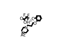 CC(=O)N1CCN(CCCOc2c[c]ccc2C(F)(F)F)CC1.O=C(O)C(F)(F)F